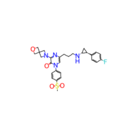 CS(=O)(=O)c1ccc(-n2cc(CCCN[C@@H]3C[C@H]3c3ccc(F)cc3)nc(N3CC4(COC4)C3)c2=O)cc1